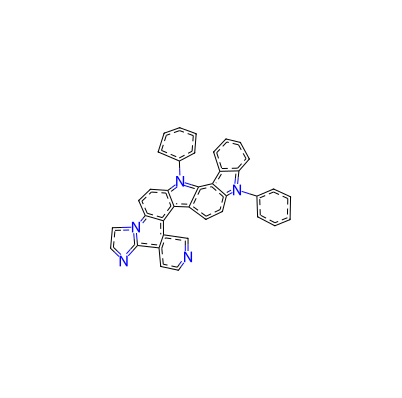 c1ccc(-n2c3ccccc3c3c2ccc2c4c5c6cnccc6c6nccn6c5ccc4n(-c4ccccc4)c23)cc1